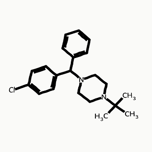 CC(C)(C)N1CCN(C(c2ccccc2)c2ccc(Cl)cc2)CC1